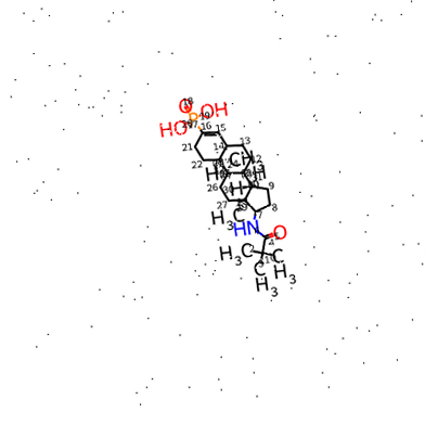 CC(C)(C)C(=O)NC1CC[C@H]2[C@@H]3CCC4C=C(P(=O)(O)O)CC[C@]4(C)[C@@H]3CC[C@]12C